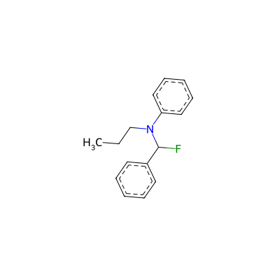 CCCN(c1ccccc1)C(F)c1ccccc1